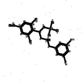 CC[Si](CC)(CC)OC(CNCc1cc(F)cc(F)c1)c1c(Cl)cc(OC)cc1Cl